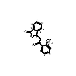 O=C1OC(CC(=O)c2ccccc2C(F)(F)F)c2ccccc21